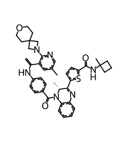 C=C(Nc1ccc(C(=O)N2c3ccccc3N=C(c3ccc(C(=O)NC4(C)CCC4)s3)[C@H]2C)cc1)c1cc(C)cnc1N1CC2(CCOCC2)C1